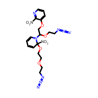 [N-]=[N+]=NCCOCCOC1([N+](=O)[O-])C=CC=CN1C(COc1cccnc1[N+](=O)[O-])OCCN=[N+]=[N-]